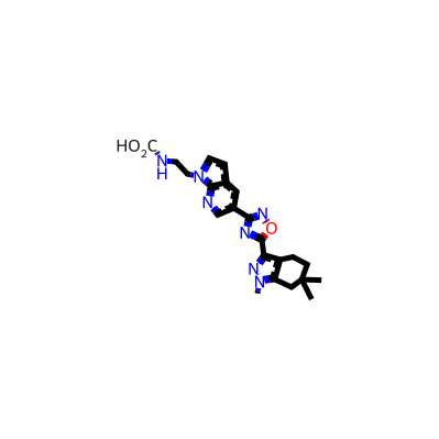 Cn1nc(-c2nc(-c3cnc4c(ccn4CCNC(=O)O)c3)no2)c2c1CC(C)(C)CC2